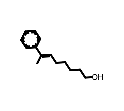 CC(=CCCCCCO)c1ccccc1